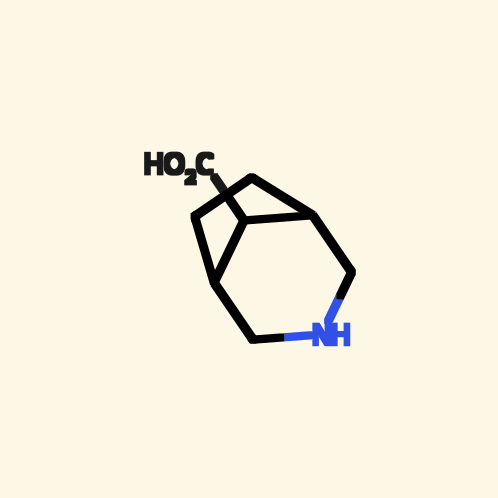 O=C(O)C1C2CCC1CNC2